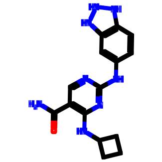 NC(=O)c1cnc(Nc2ccc3c(c2)NNN3)nc1NC1CCC1